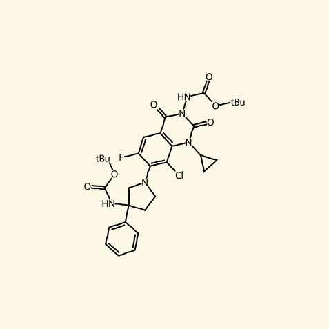 CC(C)(C)OC(=O)Nn1c(=O)c2cc(F)c(N3CCC(NC(=O)OC(C)(C)C)(c4ccccc4)C3)c(Cl)c2n(C2CC2)c1=O